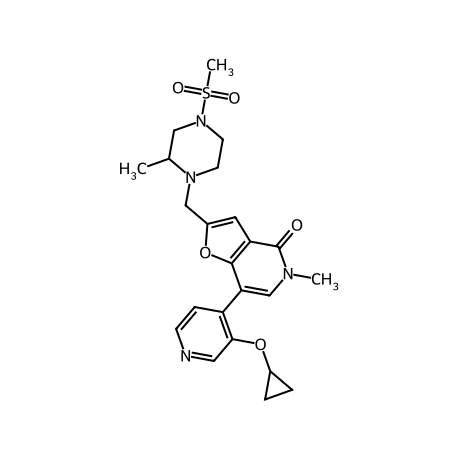 CC1CN(S(C)(=O)=O)CCN1Cc1cc2c(=O)n(C)cc(-c3ccncc3OC3CC3)c2o1